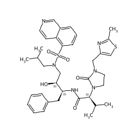 Cc1nc(CN2CCN([C@H](C(=O)N[C@@H](Cc3ccccc3)[C@@H](O)CN(CC(C)C)S(=O)(=O)c3cccc4cnccc34)C(C)C)C2=O)cs1